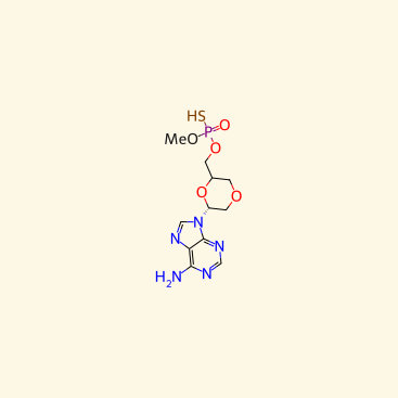 COP(=O)(S)OCC1COC[C@H](n2cnc3c(N)ncnc32)O1